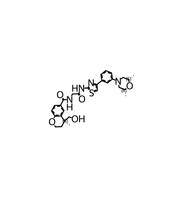 C[C@@H]1CN(c2cccc(-c3csc(NC(=O)CNC(=O)c4ccc5c(c4)[C@@](C)(CO)CCO5)n3)c2)C[C@H](C)O1